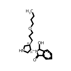 CCCCOCCC[C@@H]1CNC[C@H]1N1C(=O)c2ccccc2C1O